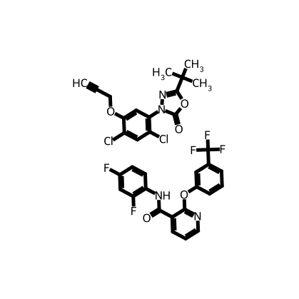 C#CCOc1cc(-n2nc(C(C)(C)C)oc2=O)c(Cl)cc1Cl.O=C(Nc1ccc(F)cc1F)c1cccnc1Oc1cccc(C(F)(F)F)c1